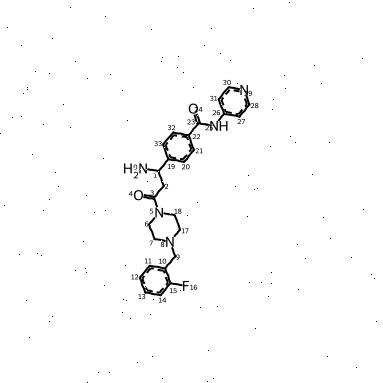 NC(CC(=O)N1CCN(Cc2ccccc2F)CC1)c1ccc(C(=O)Nc2ccncc2)cc1